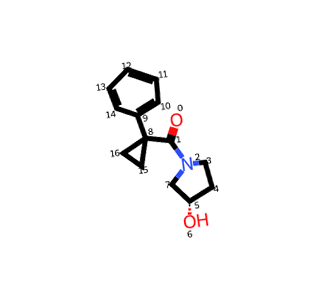 O=C(N1CC[C@H](O)C1)C1(c2ccccc2)CC1